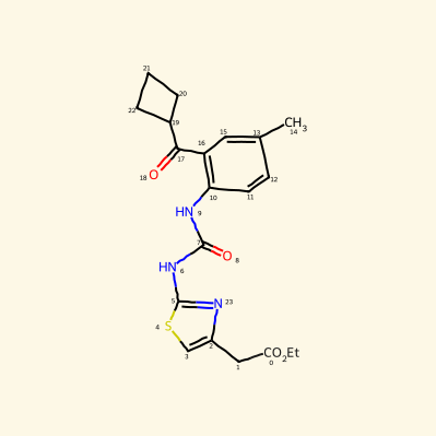 CCOC(=O)Cc1csc(NC(=O)Nc2ccc(C)cc2C(=O)C2CCC2)n1